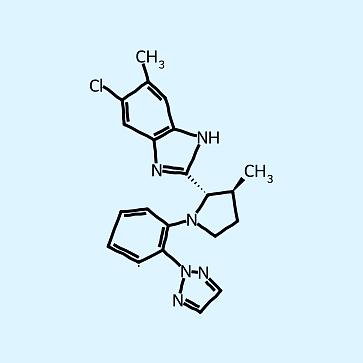 Cc1cc2[nH]c([C@@H]3[C@@H](C)CCN3c3ccc[c]c3-n3nccn3)nc2cc1Cl